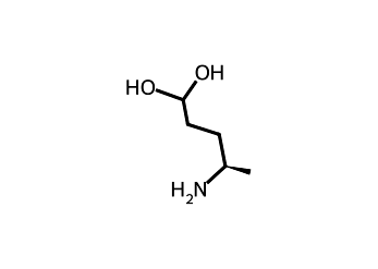 C[C@@H](N)CCC(O)O